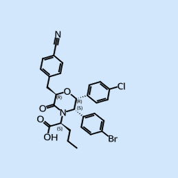 CCC[C@@H](C(=O)O)N1C(=O)[C@@H](Cc2ccc(C#N)cc2)O[C@H](c2ccc(Cl)cc2)[C@@H]1c1ccc(Br)cc1